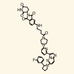 O=C1CCC(N2C(=O)c3ccc(NCCCC(=O)N4CCN(c5cccc(-c6cnc7ccc(N8CCCC8c8cccc(F)c8)nn67)n5)CC4)cc3C2=O)C(=O)N1